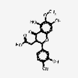 COc1c(O)cc2c(c1O)C(=O)C(CC(=O)O)C(c1ccc(O)c(O)c1)O2